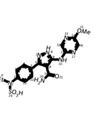 CCN(c1ccc(-c2n[nH]c(Nc3cnc(OC)cn3)c2C(N)=O)cc1)S(=O)(=O)O